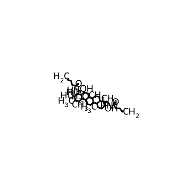 C=CCCC(=O)NC[C@@]12C(CC(C)(C)[C@@H](O)[C@@H]1O)C1=CCC3[C@@]4(C)CC[C@H](O)[C@](C)(CNC(=O)CCC=C)C4CC[C@@]3(C)[C@]1(C)C[C@H]2O